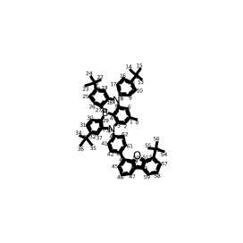 Cc1cc2c3c(c1)N(c1ccc(C(C)(C)C)cc1)c1cc(C(C)(C)C)ccc1B3c1ccc(C(C)(C)C)cc1N2c1ccc(-c2cccc3c2oc2c(C(C)(C)C)cccc23)cc1